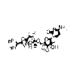 CCCC(CCC)c1nnc([C@H](C)NP(=O)(O)OC[C@H]2O[C@@H](n3ccc(N)nc3=O)[C@](C)(O)[C@@H]2O)o1